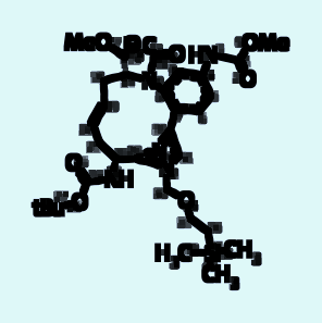 COC(=O)Nc1ccc2c(c1)N(C(=O)C(F)(F)F)[C@@H](C(=O)OC)C/C=C/C[C@H](NC(=O)OC(C)(C)C)c1nc-2cn1COCC[Si](C)(C)C